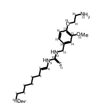 CCCCCCCCCCCCCCCCC=CNC(=S)NCc1ccc(OCCN)c(OC)c1